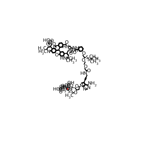 CSS[C@H](C)O[C@@H]1C[C@H](n2cc(C#CCNC(=O)COCCOC(COc3cccc(C(=O)NCCNC(=O)c4ccc(C(=O)O)c(C5=c6cc7c(cc6Oc6cc8c(cc65)C(CS(=O)(=O)O)=CC(C)(C)N8)=NC(C)(C)C=C7CS(=O)(=O)O)c4)c3)SSC(C)(C)C)c3c(N)ncnc32)O[C@@H]1COP(=O)(O)OP(=O)(O)OP(=O)(O)O